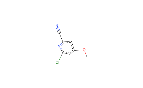 COc1cc(Cl)nc(C#N)c1